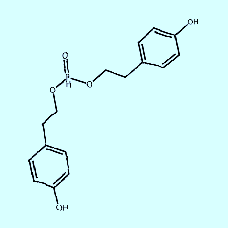 O=[PH](OCCc1ccc(O)cc1)OCCc1ccc(O)cc1